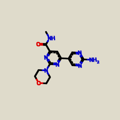 CNC(=O)c1cc(-c2cnc(N)nc2)nc(N2CCOCC2)n1